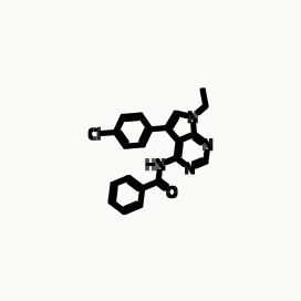 CCn1cc(-c2ccc(Cl)cc2)c2c(NC(=O)c3ccccc3)ncnc21